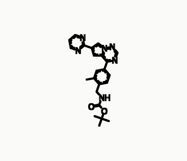 Cc1cc(-c2ncnn3cc(-c4ncccn4)cc23)ccc1CNC(=O)OC(C)(C)C